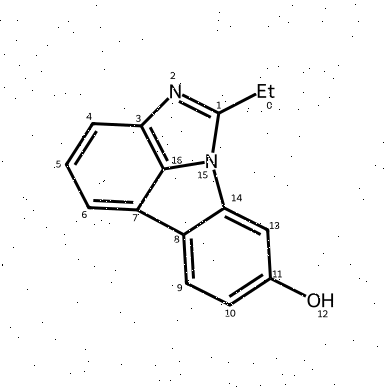 CCc1nc2cccc3c4ccc(O)cc4n1c23